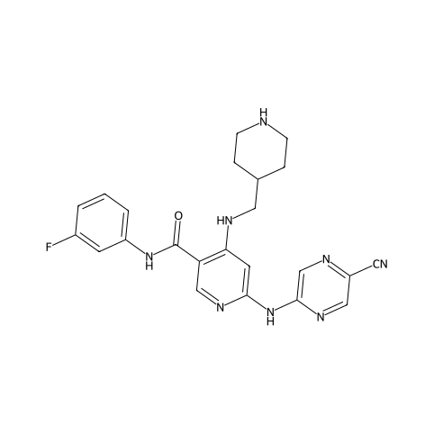 N#Cc1cnc(Nc2cc(NCC3CCNCC3)c(C(=O)Nc3cccc(F)c3)cn2)cn1